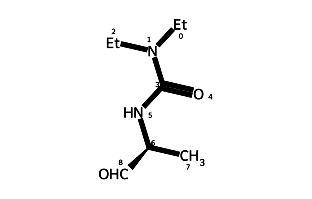 CCN(CC)C(=O)N[C@@H](C)C=O